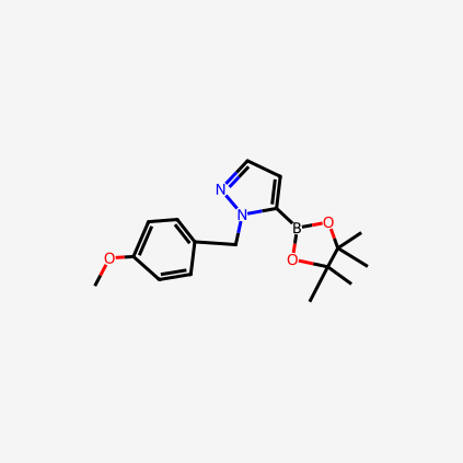 COc1ccc(Cn2nccc2B2OC(C)(C)C(C)(C)O2)cc1